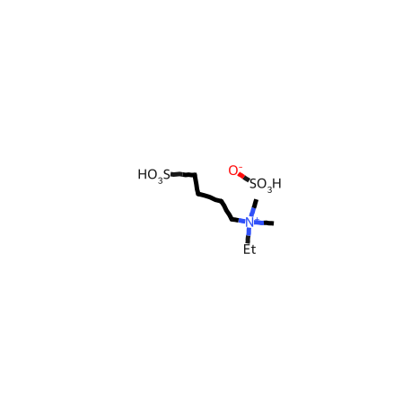 CC[N+](C)(C)CCCCS(=O)(=O)O.O=S(=O)([O-])O